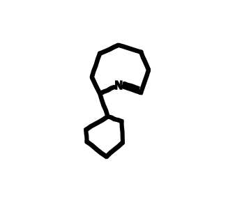 C1=N/C(C2CCCCC2)CCCCC/1